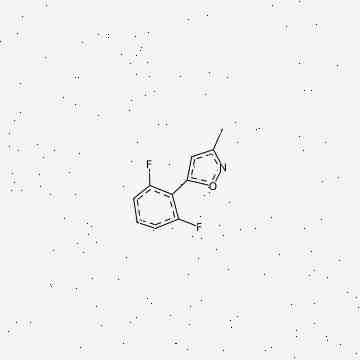 Cc1cc(-c2c(F)cccc2F)on1